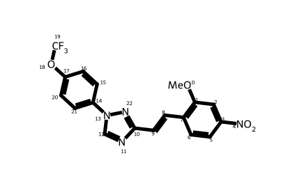 COc1cc([N+](=O)[O-])ccc1/C=C/c1ncn(-c2ccc(OC(F)(F)F)cc2)n1